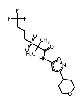 CC(C)(C(=O)Nc1cc(C2CCOCC2)no1)S(=O)(=O)CCCC(F)(F)F